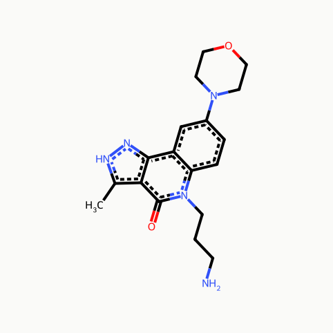 Cc1[nH]nc2c1c(=O)n(CCCN)c1ccc(N3CCOCC3)cc21